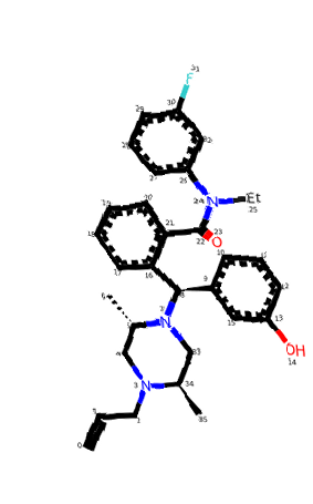 C=CCN1C[C@H](C)N([C@H](c2cccc(O)c2)c2ccccc2C(=O)N(CC)c2cccc(F)c2)C[C@H]1C